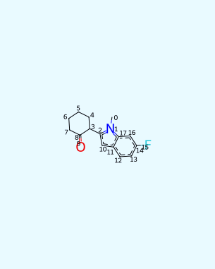 Cn1c(C2CCCCC2=O)cc2ccc(F)cc21